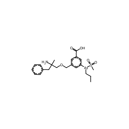 CCC[As](c1cc(COCC(C)(N)Cc2ccccc2)cc(C(=O)O)c1)S(C)(=O)=O